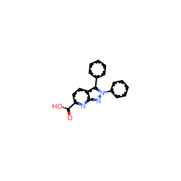 O=C(O)c1ccc2c(-c3ccccc3)n(-c3ccccc3)nc2n1